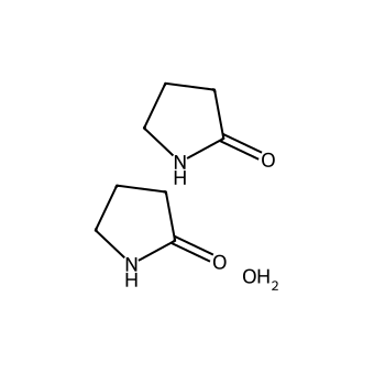 O.O=C1CCCN1.O=C1CCCN1